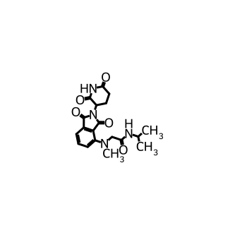 CC(C)NC(=O)CN(C)c1cccc2c1C(=O)N(C1CCC(=O)NC1=O)C2=O